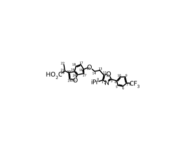 CC(C)c1nc(-c2ccc(C(F)(F)F)cc2)oc1CCOc1ccc2c(C(C)C(=O)O)coc2c1